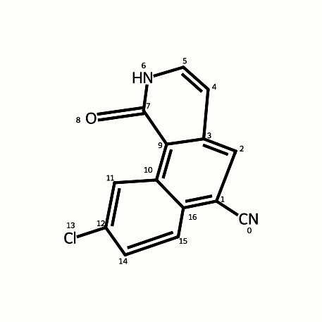 N#Cc1cc2cc[nH]c(=O)c2c2cc(Cl)ccc12